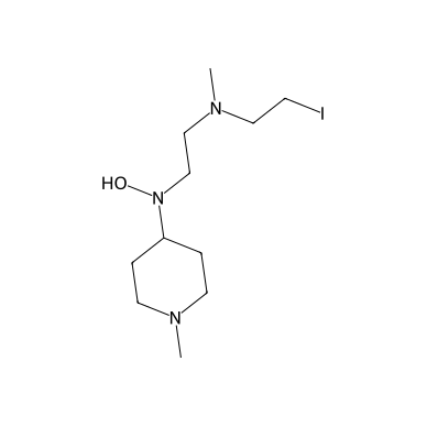 CN1CCC(N(O)CCN(C)CCI)CC1